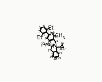 CCc1cccc(CC)c1-c1cc(OC(C)C)c(CN2CCc3ccccc3C2C2CC2)c(C)n1